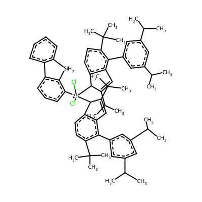 CC(C)C1=Cc2c(ccc(C(C)(C)C)c2-c2cc(C(C)C)cc(C(C)C)c2)[CH]1[Zr]([Cl])([Cl])([c]1cccc2c1[SiH2]c1ccccc1-2)[CH]1C(C(C)C)=Cc2c1ccc(C(C)(C)C)c2-c1cc(C(C)C)cc(C(C)C)c1